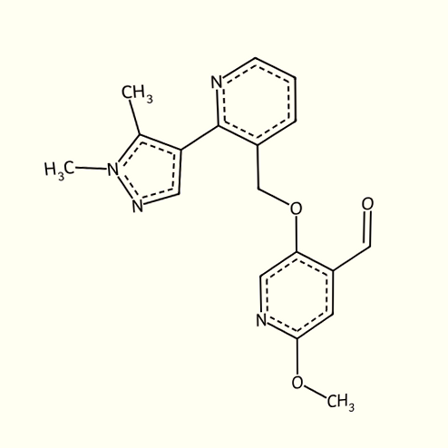 COc1cc(C=O)c(OCc2cccnc2-c2cnn(C)c2C)cn1